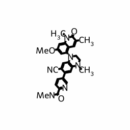 CNC(=O)c1ccc(-c2cc3c(cc2C#N)N(c2cc(OC)cc4c2cc(C)c(=O)n4C)CCN3C)cn1